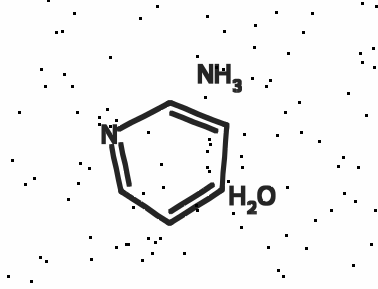 N.O.c1ccncc1